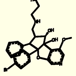 COc1cncc2c1C1(O)[C@H](O)C(CNCCO)C(c3ccccc3)C1(c1ccc(Br)cc1)O2